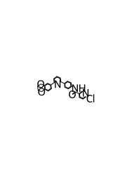 O=C(Nc1ccc(-c2cccc(-c3ccc4c(c3)OCCO4)n2)cc1)c1ccc(Cl)nc1